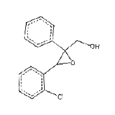 OCC1(c2ccccc2)OC1c1ccccc1Cl